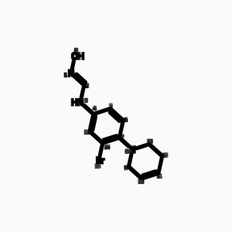 O/N=C/Nc1ccc(N2CC=CCC2)c(Br)c1